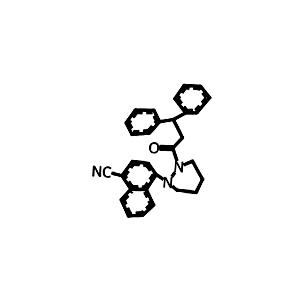 N#Cc1ccc(N2CCCCN2C(=O)CC(c2ccccc2)c2ccccc2)c2ccccc12